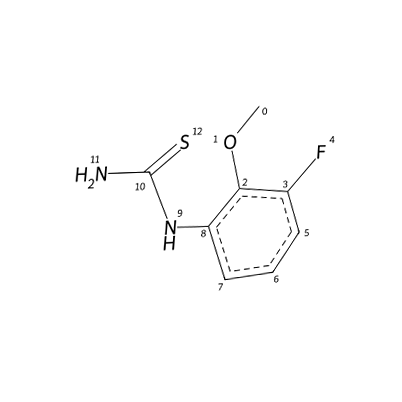 COc1c(F)cccc1NC(N)=S